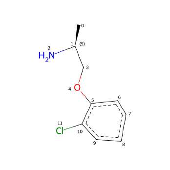 C[C@H](N)COc1ccccc1Cl